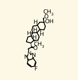 COC[C@@]1(O)CC[C@H]2[C@@H](CC[C@@H]3[C@@H]2CC[C@]2(C)[C@@H](C(=O)Cn4nc5ccc(F)cc5n4)CC[C@@H]32)C1